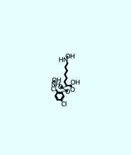 NO.O=C(O)C(CCCCCCNO)S(=O)(=O)c1cc(Cl)ccc1Cl